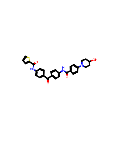 O=C(Nc1ccc(C(=O)c2ccc(NC(=O)c3cccs3)cc2)cc1)c1ccc(N2CCC(O)CC2)cc1